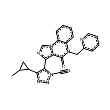 CC1CC1c1nnn(C#N)c1-c1ncn2c1c(=O)n(Cc1ccccn1)c1ccccc12